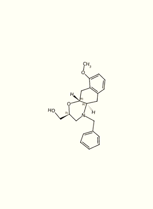 COc1cccc2c1C[C@H]1O[C@H](CO)CN(Cc3ccccc3)[C@@H]1C2